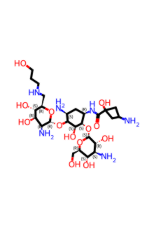 NC1CC(O)(C(=O)N[C@@H]2C[C@H](N)C(O[C@H]3O[C@H](CNCCCO)[C@@H](O)[C@H](O)[C@H]3N)[C@H](O)[C@H]2O[C@H]2O[C@H](CO)[C@@H](O)[C@H](N)[C@H]2O)C1